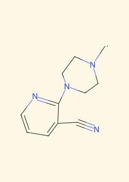 [CH2]N1CCN(c2ncccc2C#N)CC1